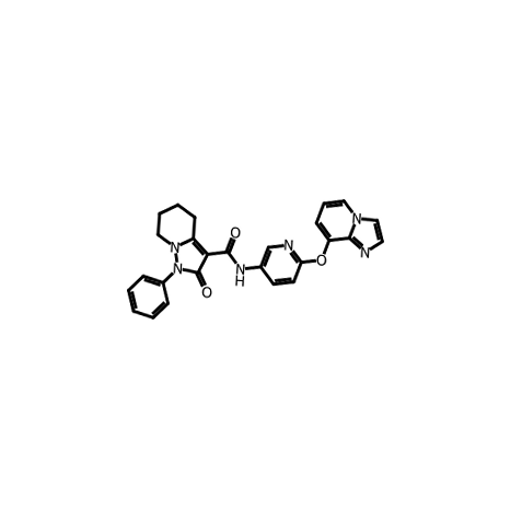 O=C(Nc1ccc(Oc2cccn3ccnc23)nc1)c1c2n(n(-c3ccccc3)c1=O)CCCC2